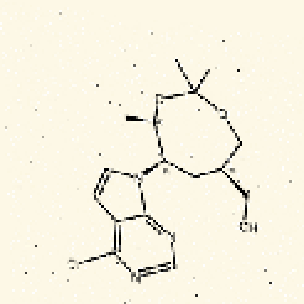 C[C@H]1OC(C)(C)OC[C@@H](CO)C[C@H]1n1ccc2c(Cl)ncnc21